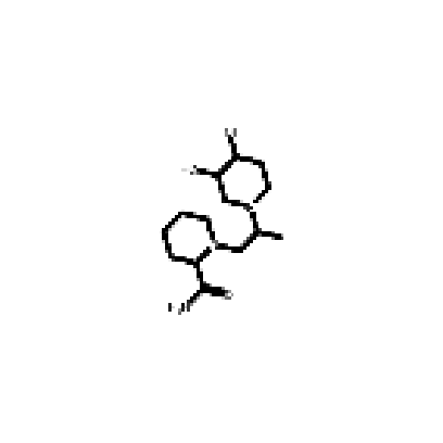 CC(CN1CC[CH]CC1C(N)=O)N1CCC(O)C(O)C1